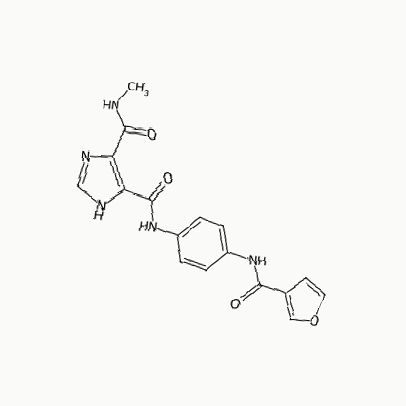 CNC(=O)c1nc[nH]c1C(=O)Nc1ccc(NC(=O)c2ccoc2)cc1